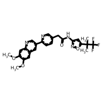 COc1cc2cc(-c3ccc(CC(=O)Nc4cc(C(C)(C)C(F)(F)F)on4)cn3)cnc2cc1OC